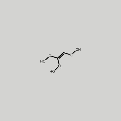 OOC=C(OO)OO